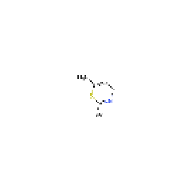 CC1=CCN=C(C(C)C)S1